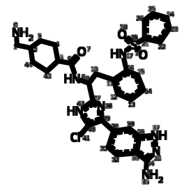 NCC1CCC(C(=O)NC(Cc2ccccc2NS(=O)(=O)c2ccccc2)c2nc(-c3ccc4c(N)n[nH]c4c3)c(Cl)[nH]2)CC1